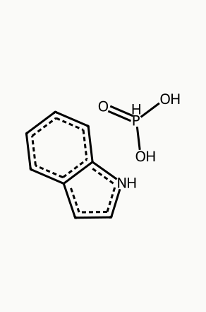 O=[PH](O)O.c1ccc2[nH]ccc2c1